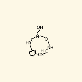 OCCN1CCNCc2cccc(c2)CNCCNCCOCC1